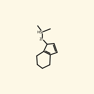 C[SiH](C)[Zr][CH]1C=CC2=C1CCCC2